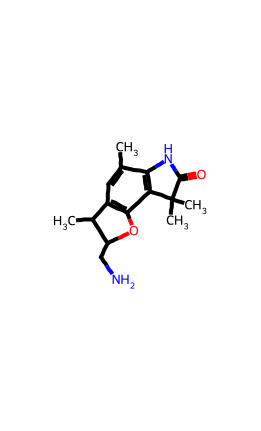 Cc1cc2c(c3c1NC(=O)C3(C)C)OC(CN)C2C